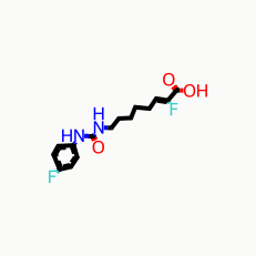 O=C(NCCCCCC=C(F)C(=O)O)Nc1ccc(F)cc1